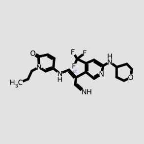 CCCn1cc(N/C=C(\C=N)c2cnc(NC3CCOCC3)cc2C(F)(F)F)ccc1=O